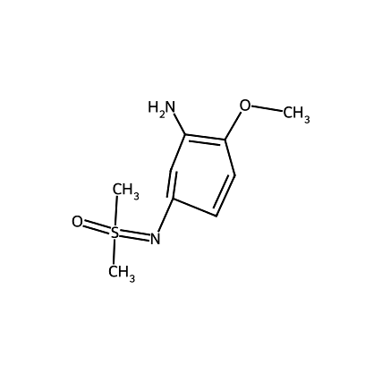 COc1ccc(N=S(C)(C)=O)cc1N